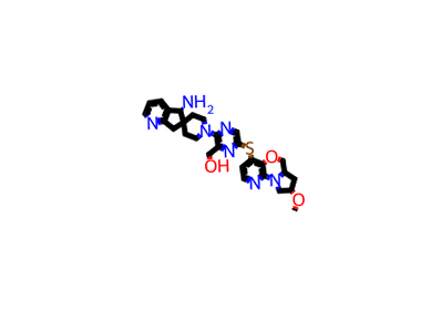 COC1CC2COc3c(Sc4cnc(N5CCC6(CC5)Cc5ncccc5[C@H]6N)c(CO)n4)ccnc3N2C1